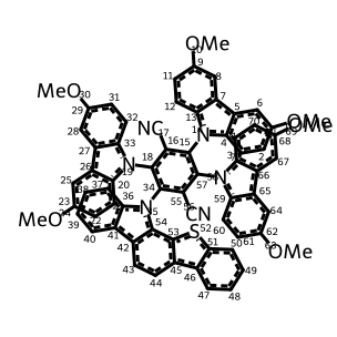 COc1ccc2c(c1)c1cc(OC)ccc1n2-c1c(C#N)c(-n2c3ccc(OC)cc3c3cc(OC)ccc32)c(-n2c3ccccc3c3ccc4c5ccccc5sc4c32)c(C#N)c1-n1c2ccc(OC)cc2c2cc(OC)ccc21